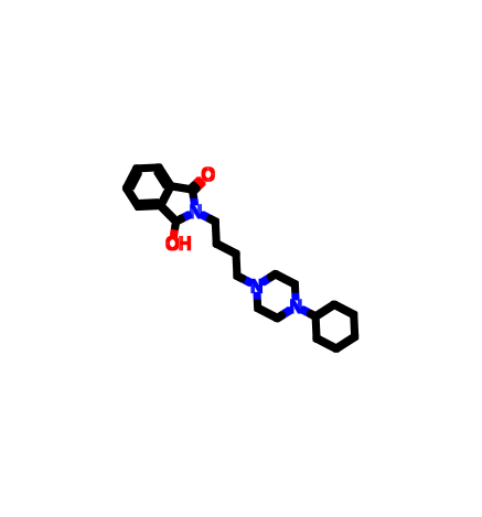 O=C1c2ccccc2C(O)N1CCCCN1CCN(C2CCCCC2)CC1